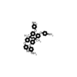 CC(CCC(C)(c1ccc(Oc2ccc(N)cc2)cc1)c1ccc(Oc2ccc(N)cc2)cc1)(c1ccc(Oc2ccc(N)cc2)cc1)c1ccc(Oc2ccc(N)cc2)cc1